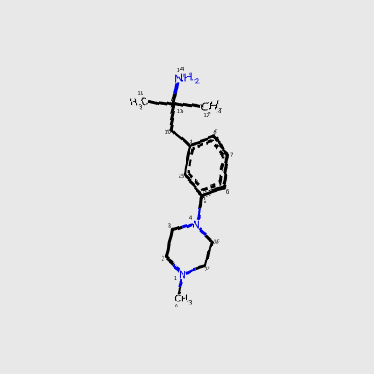 CN1CCN(c2cccc(CC(C)(C)N)c2)CC1